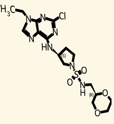 CCn1cnc2c(N[C@H]3CCN(S(=O)(=O)NC[C@@H]4COCCO4)C3)nc(Cl)nc21